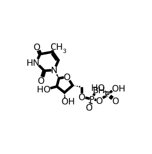 BP(=O)(OC[C@H]1O[C@@H](n2cc(C)c(=O)[nH]c2=O)C(O)[C@H]1O)OP(=O)(O)O